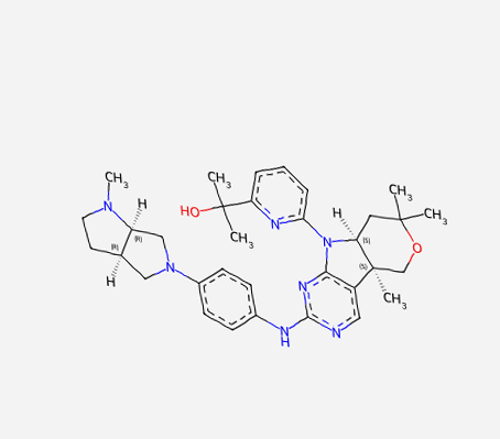 CN1CC[C@@H]2CN(c3ccc(Nc4ncc5c(n4)N(c4cccc(C(C)(C)O)n4)[C@H]4CC(C)(C)OC[C@@]54C)cc3)C[C@@H]21